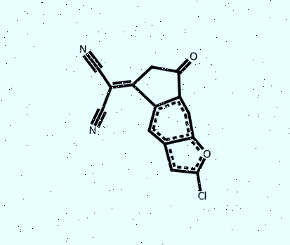 N#CC(C#N)=C1CC(=O)c2cc3oc(Cl)cc3cc21